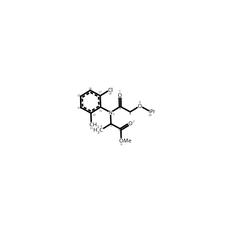 COC(=O)C(C)N(C(=O)COC(C)C)c1c(C)cccc1Cl